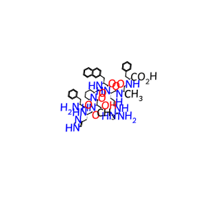 C[C@H](NC(=O)[C@H](CCCNC(=N)N)NC(=O)[C@H](Cc1ccc2ccccc2c1)NC(=O)[C@@H]1CCCCN1C(=O)[C@H](NC(=O)[C@H](Cc1c[nH]cn1)NC(=O)[C@H](N)Cc1ccccc1)[C@H](C)O)C(=O)N[C@H](Cc1ccccc1)C(=O)O